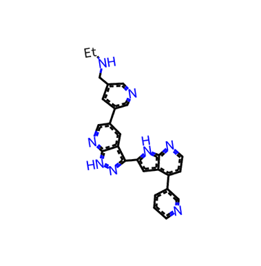 CCNCc1cncc(-c2cnc3[nH]nc(-c4cc5c(-c6cccnc6)ccnc5[nH]4)c3c2)c1